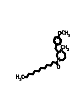 CCCCCCCCCCCC(=O)N1CCCN(C)C(Cc2ccc(OC)cc2)C1